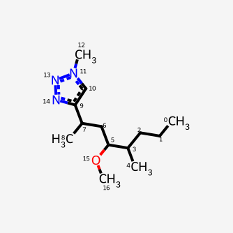 CCCC(C)C(CC(C)c1cn(C)nn1)OC